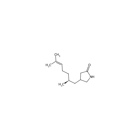 CC(C)=CCC[C@H](C)CC1CNC(=O)C1